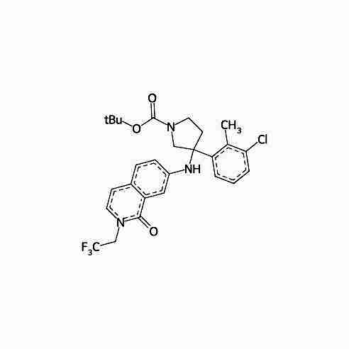 Cc1c(Cl)cccc1C1(Nc2ccc3ccn(CC(F)(F)F)c(=O)c3c2)CCN(C(=O)OC(C)(C)C)C1